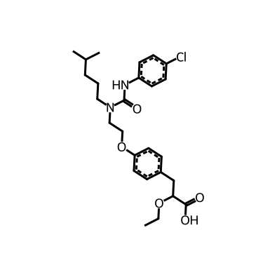 CCOC(Cc1ccc(OCCN(CCCC(C)C)C(=O)Nc2ccc(Cl)cc2)cc1)C(=O)O